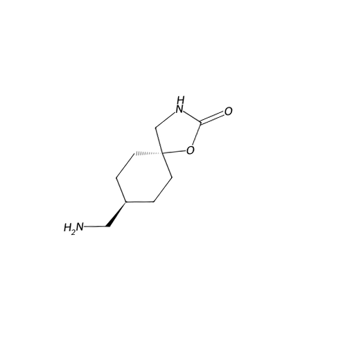 NC[C@H]1CC[C@]2(CC1)CNC(=O)O2